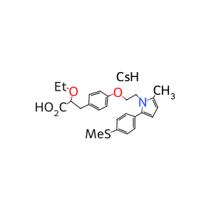 CCOC(Cc1ccc(OCCn2c(C)ccc2-c2ccc(SC)cc2)cc1)C(=O)O.[CsH]